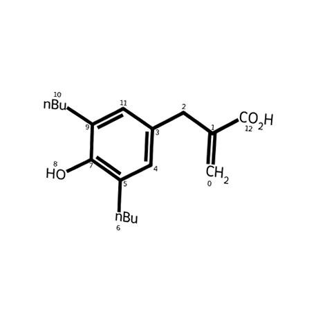 C=C(Cc1cc(CCCC)c(O)c(CCCC)c1)C(=O)O